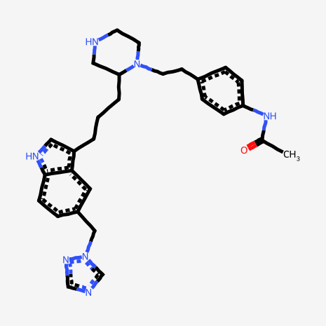 CC(=O)Nc1ccc(CCN2CCNCC2CCCc2c[nH]c3ccc(Cn4cncn4)cc23)cc1